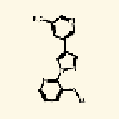 CCSc1cccnc1-n1cc(-c2cncc(C(F)(F)F)c2)cn1